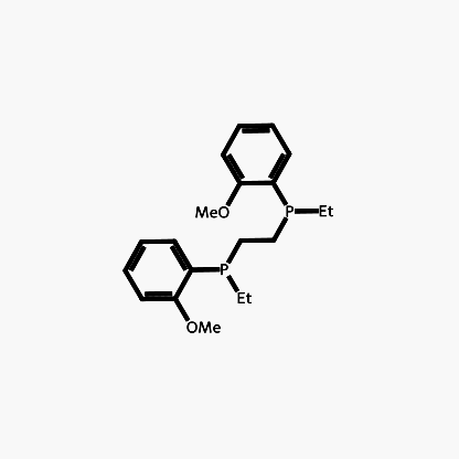 CCP(CCP(CC)c1ccccc1OC)c1ccccc1OC